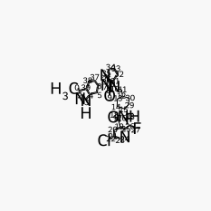 Cc1n[nH]c2cc(-n3c(=O)n(CC4CCC(NC(=O)c5cc(Cl)cnc5C(F)F)CC4)c4cccnc43)ccc12